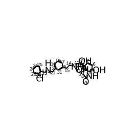 O=c1[nH]c2c(O)ccc(C(O)(O)CNCCc3cccc(CNCc4ccccc4Cl)c3)c2s1